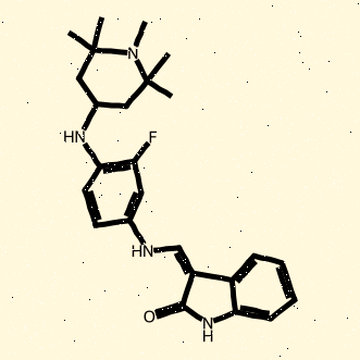 CN1C(C)(C)CC(Nc2ccc(NC=C3C(=O)Nc4ccccc43)cc2F)CC1(C)C